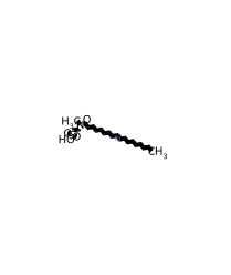 CCCCCCCC/C=C/CCCCCCCC(=O)N(C)CCS(=O)(=O)O